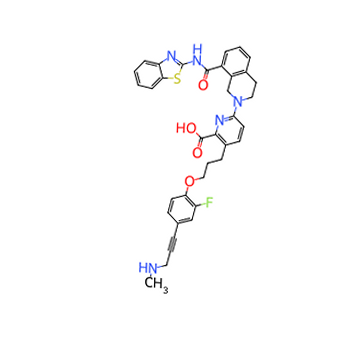 CNCC#Cc1ccc(OCCCc2ccc(N3CCc4cccc(C(=O)Nc5nc6ccccc6s5)c4C3)nc2C(=O)O)c(F)c1